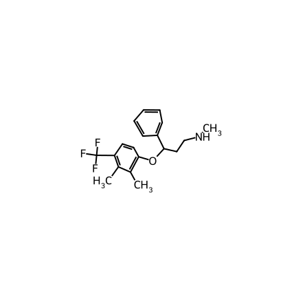 CNCCC(Oc1ccc(C(F)(F)F)c(C)c1C)c1ccccc1